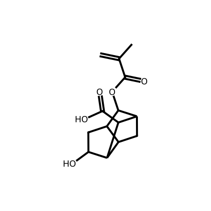 C=C(C)C(=O)OC1C2CC(O)C3C2CC1C3C(=O)O